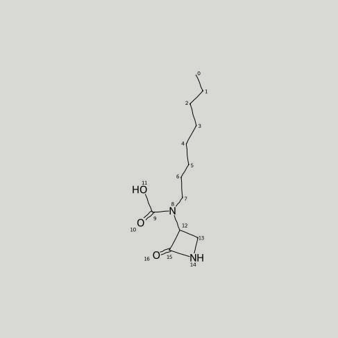 CCCCCCCCN(C(=O)O)C1CNC1=O